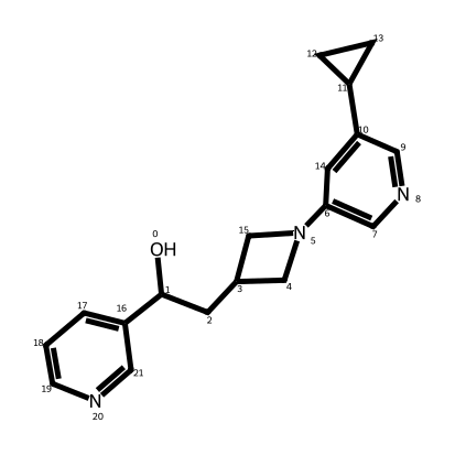 OC(CC1CN(c2cncc(C3CC3)c2)C1)c1cccnc1